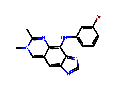 Cc1nc2c(Nc3cccc(Br)c3)c3ncnc3cc2cn1C